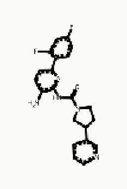 Nc1ccc(-c2ccc(F)cc2F)nc1NC(=O)N1CCC(c2cccnc2)C1